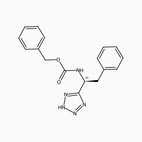 O=C(N[C@@H](Cc1ccccc1)c1nn[nH]n1)OCc1ccccc1